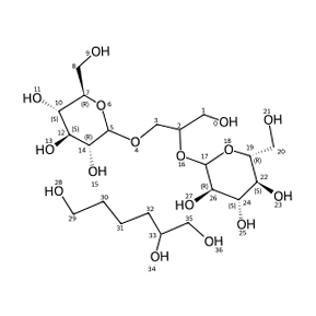 OCC(COC1O[C@H](CO)[C@@H](O)[C@H](O)[C@H]1O)OC1O[C@H](CO)[C@@H](O)[C@H](O)[C@H]1O.OCCCCC(O)CO